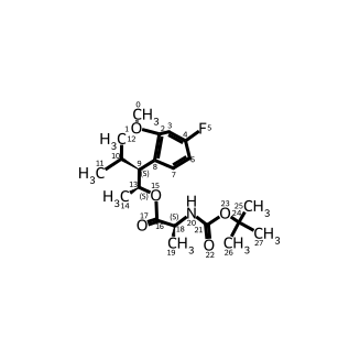 COc1cc(F)ccc1[C@H](C(C)C)[C@H](C)OC(=O)[C@H](C)NC(=O)OC(C)(C)C